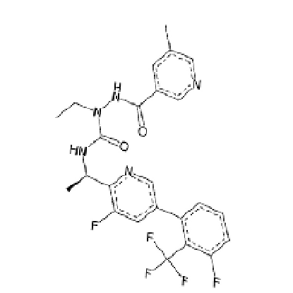 CCN(NC(=O)c1cncc(C)c1)C(=O)N[C@H](C)c1ncc(-c2cccc(F)c2C(F)(F)F)cc1F